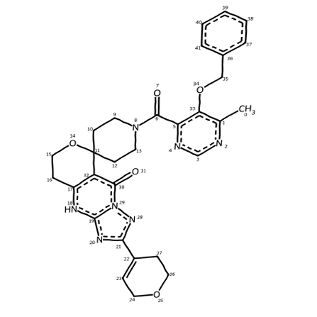 Cc1ncnc(C(=O)N2CCC3(CC2)OCCc2[nH]c4nc(C5=CCOCC5)nn4c(=O)c23)c1OCc1ccccc1